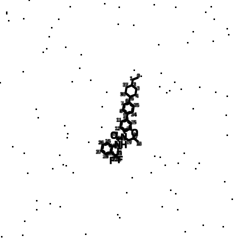 CCC1CCC(c2ccc(-c3ccc4c(c3)OC(C)CN4C(=O)Nc3ccccc3C(F)(F)F)cc2)CC1